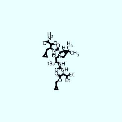 CCC(CC)[C@H](NC(=O)N[C@H](C(=O)N1CC2[C@@H]([C@H]1C(=O)NC(CC1CC1)C(=O)C(N)=O)C2(C)C)C(C)(C)C)C(=O)OCC1CC1